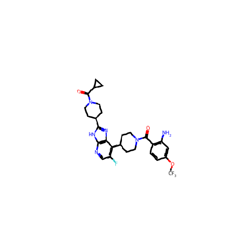 Nc1cc(OC(F)(F)F)ccc1C(=O)N1CCC(c2c(F)cnc3[nH]c(C4CCN(C(=O)C5CC5)CC4)nc23)CC1